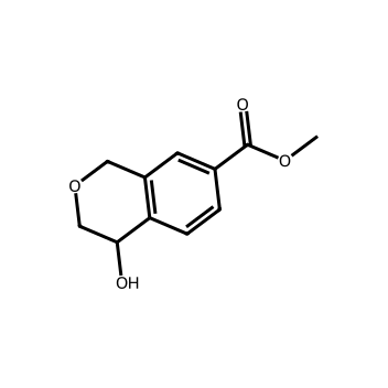 COC(=O)c1ccc2c(c1)COCC2O